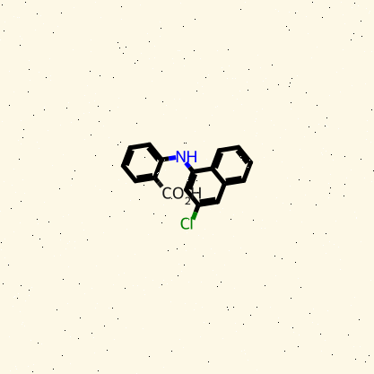 O=C(O)c1ccccc1Nc1cc(Cl)cc2ccccc12